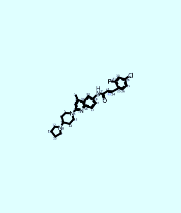 Cc1cc(N2CCC(N3CCCC3)CC2)nc2ccc(NC(=O)/C=C/c3ccc(Cl)cc3F)cc12